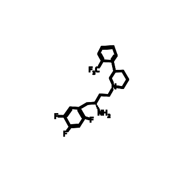 N[C@@H](CCN1CCCC(c2ccccc2C(F)(F)F)C1)Cc1cc(F)c(F)cc1F